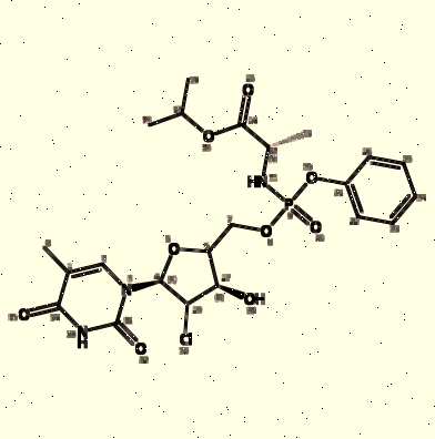 Cc1cn([C@H]2OC(COP(=O)(N[C@@H](C)C(=O)OC(C)C)Oc3ccccc3)[C@@H](O)C2Cl)c(=O)[nH]c1=O